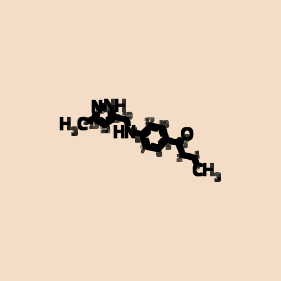 CCCC(=O)c1ccc(NCc2cc(C)n[nH]2)cc1